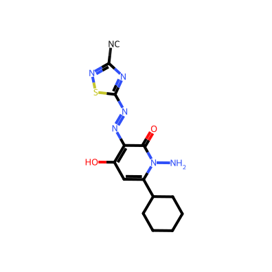 [C-]#[N+]c1nsc(N=Nc2c(O)cc(C3CCCCC3)n(N)c2=O)n1